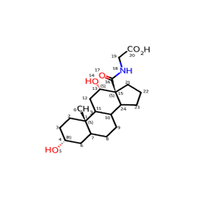 C[C@]12CC[C@@H](O)CC1CCC1C2C[C@H](O)[C@]2(C(=O)NCC(=O)O)CCCC12